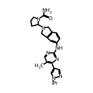 Cc1cnc(Nc2ccc3c(c2)CN(C2CCCN2C(N)=O)C3)nc1-c1cnn(C(C)C)c1